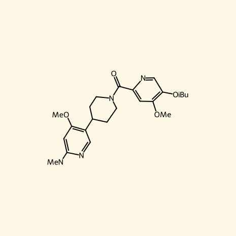 CNc1cc(OC)c(C2CCN(C(=O)c3cc(OC)c(OCC(C)C)cn3)CC2)cn1